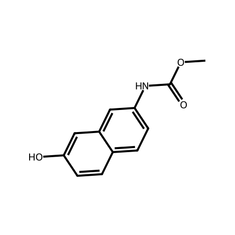 COC(=O)Nc1ccc2ccc(O)cc2c1